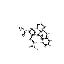 CN(C)/N=N/c1[nH]cnc1C(N)=O.c1ccc2c(c1)Nc1ccccc1S2